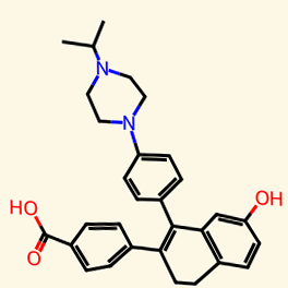 CC(C)N1CCN(c2ccc(C3=C(c4ccc(C(=O)O)cc4)CCc4ccc(O)cc43)cc2)CC1